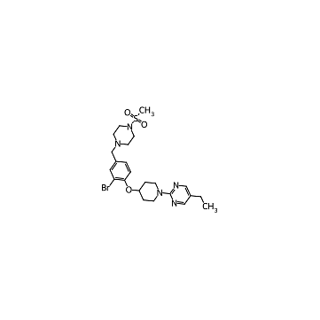 CCc1cnc(N2CCC(Oc3ccc(CN4CCN(S(C)(=O)=O)CC4)cc3Br)CC2)nc1